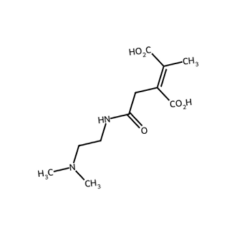 C/C(C(=O)O)=C(/CC(=O)NCCN(C)C)C(=O)O